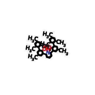 Cc1cc(C)c(-c2cc(C)cc(-c3cccc(-c4cc(C)cc(-c5c(C)cc(C)cc5C)c4O)n3)c2O)c(C)c1